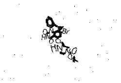 CC(C)(C)OC(=O)N1CCNC(COc2cc(Br)cc3c2c(=O)[nH]c(=O)n3-c2ccccc2C2CC2)C1